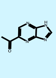 CC(=O)c1cnc2[nH]cnc2n1